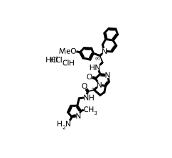 COc1ccc([C@H](CNc2ncc3n(c2=O)[C@H](C(=O)NCc2ccc(N)nc2C)CC3)N2C=Cc3ccccc3C2)cc1.Cl.Cl.Cl